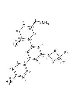 CC[C@H]1CN(c2cc(-c3cnc(N)nc3)nc(N3CC(F)(F)C3)n2)[C@@H](C)CO1